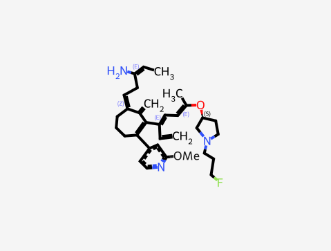 C=C/C(=C\C=C(/C)O[C@H]1CCN(CCCF)C1)C1=C(c2ccnc(OC)c2)CCC/C(=C/C/C(N)=C\C)C1=C